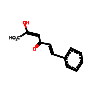 O=C(/C=C/c1ccccc1)/C=C(/O)C(=O)O